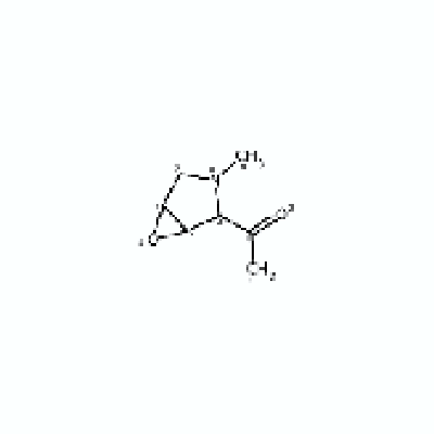 CC(=O)C1C2OC2CN1C